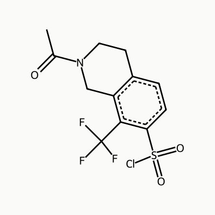 CC(=O)N1CCc2ccc(S(=O)(=O)Cl)c(C(F)(F)F)c2C1